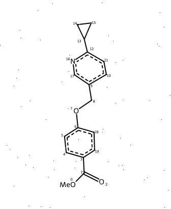 COC(=O)c1ccc(OCc2ccc(C3CC3)nc2)cc1